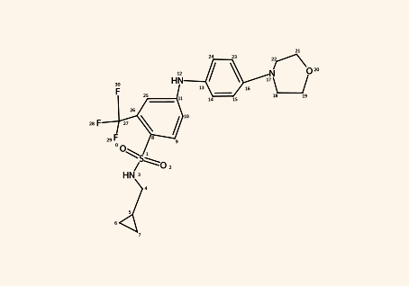 O=S(=O)(NCC1CC1)c1ccc(Nc2ccc(N3CCOCC3)cc2)cc1C(F)(F)F